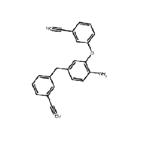 C#Cc1cccc(Cc2ccc(N)c(Oc3cccc(C#C)c3)c2)c1